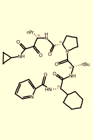 CCC[C@H](NC(=O)[C@@H]1CCCN1C(=O)[C@@H](NC(=O)[C@@H](NC(=O)c1ccccn1)C1CCCCC1)C(C)(C)C)C(=O)C(=O)NC1CC1